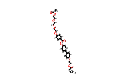 C=CC(=O)OCCOc1ccc(-c2ccc(OC(=O)c3ccc(OCCOCCOCCOC(=O)C(C)CC)cc3)cc2)cc1